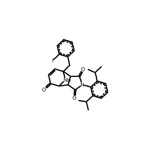 CC(C)c1cccc(C(C)C)c1N1C(=O)C2C3NC(Cc4ccccc4I)(C=CC3=O)C2C1=O